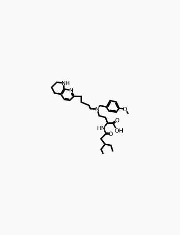 CCC(CC)CC(=O)NC(CCN(CCCCc1ccc2c(n1)NCCC2)Cc1ccc(OC)cc1)C(=O)O